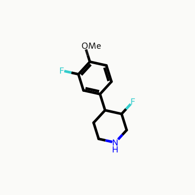 COc1ccc(C2CCNCC2F)cc1F